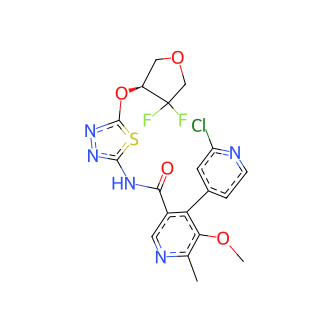 COc1c(C)ncc(C(=O)Nc2nnc(O[C@H]3COCC3(F)F)s2)c1-c1ccnc(Cl)c1